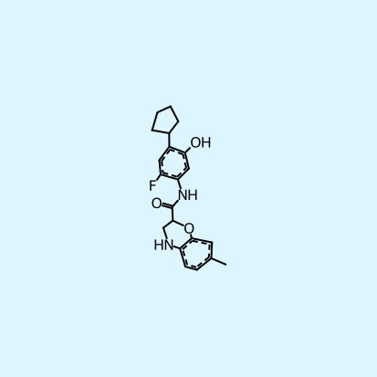 Cc1ccc2c(c1)OC(C(=O)Nc1cc(O)c(C3CCCC3)cc1F)CN2